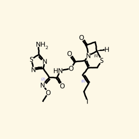 CO/N=C(\C(=O)NOC(=O)C1=C(/C=C/CI)CS[C@H]2CC(=O)N12)c1nsc(N)n1